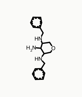 NC1C(NCc2ccccc2)COCC1NCc1ccccc1